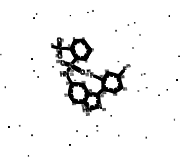 CS(=O)(=O)c1ccccc1S(=O)(=O)Nc1ccc2[nH]nc(-c3ccc(F)cc3F)c2c1